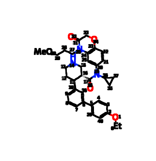 CCOc1ccc(-c2cccc([C@H]3CCNC[C@@H]3C(=O)N(c3ccc4c(c3)N(CCCOC)C(=O)CO4)C3CC3)c2)cc1